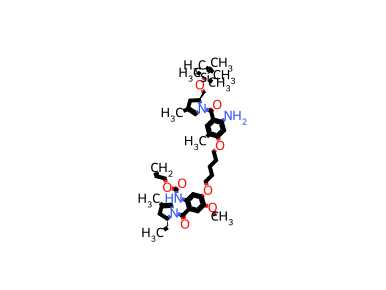 C=CCOC(=O)Nc1cc(OCCCCCOc2cc(N)c(C(=O)N3C=C(C)C[C@H]3CO[Si](C)(C)C(C)(C)C)cc2C)c(OC)cc1C(=O)N1C=C(C)C[C@H]1CC